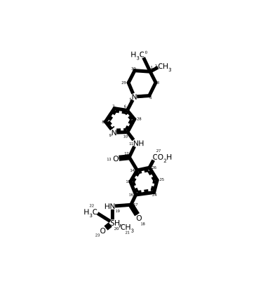 CC1(C)CCN(c2ccnc(NC(=O)c3cc(C(=O)N[SH](C)(C)=O)ccc3C(=O)O)c2)CC1